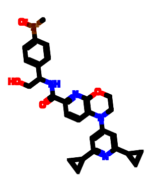 C[S+]([O-])c1ccc(C(CO)NC(=O)c2ccc3c(n2)OCCN3c2cc(C3CC3)nc(C3CC3)c2)cc1